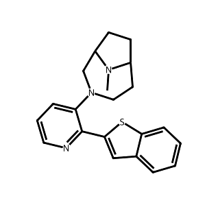 CN1C2CCC1CN(c1cccnc1-c1cc3ccccc3s1)CC2